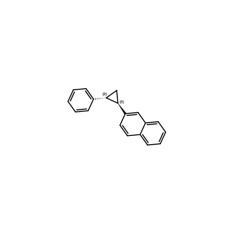 c1ccc([C@@H]2C[C@H]2c2ccc3ccccc3c2)cc1